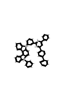 c1ccc(-c2ccc(-c3cc(-c4ccccc4)nc(-c4cccc(-n5c6ccccc6c6c7c8ccccc8n(-c8ccccc8)c7ccc65)c4)n3)cc2)cc1